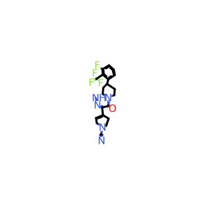 N#CN1CC=C(C(=NN)C(=O)N2CCC(c3cccc(F)c3C(F)(F)F)CC2)CC1